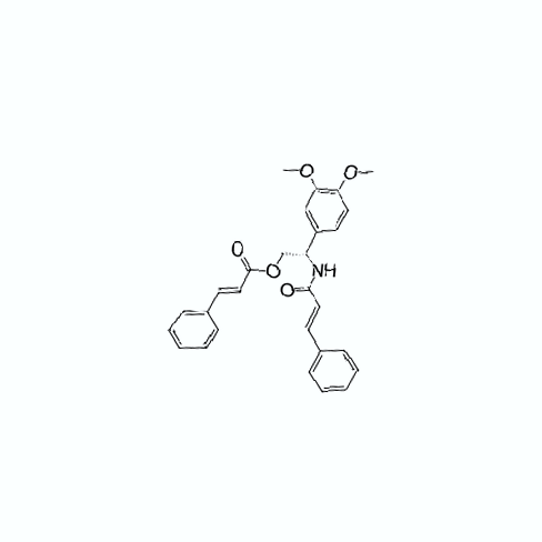 COc1ccc([C@@H](COC(=O)/C=C/c2ccccc2)NC(=O)/C=C/c2ccccc2)cc1OC